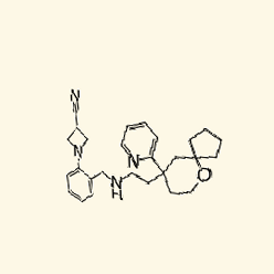 N#CC1CN(c2ccccc2CNCCC2(c3ccccn3)CCOC3(CCCC3)C2)C1